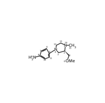 COC[C@H]1CN(c2ccc(N)cc2)CCN1C